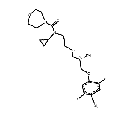 O=C(N1CCOCC1)N(CCNC[C@H](O)COc1cc(F)c(O)cc1F)C1CC1